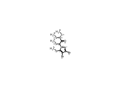 CSc1c(Br)c(Br)nn1C(SC)C(=O)N(SC)SC